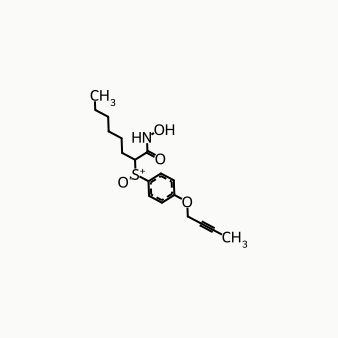 CC#CCOc1ccc([S@+]([O-])C(CCCCCC)C(=O)NO)cc1